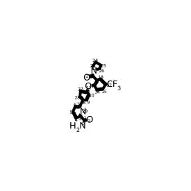 NC(=O)c1cccc(-c2ccc(Oc3ccc(C(F)(F)F)cc3C(=O)N3CCCC3)cc2)n1